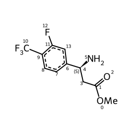 COC(=O)C[C@H](N)c1ccc(C(F)(F)F)c(F)c1